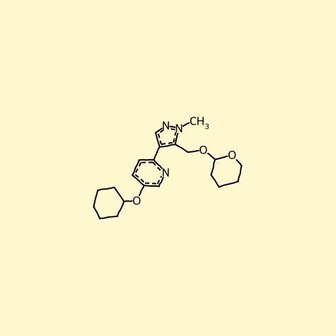 Cn1ncc(-c2ccc(OC3CCCCC3)cn2)c1COC1CCCCO1